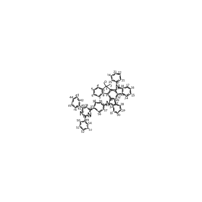 CC1(C)c2ccccc2-c2c1c1c(c3ccccc3n1-c1ccccc1)c1c3ccccc3n(-c3ccc(-c4cc(-c5ccccc5)nc(-c5ccccc5)n4)cc3)c21